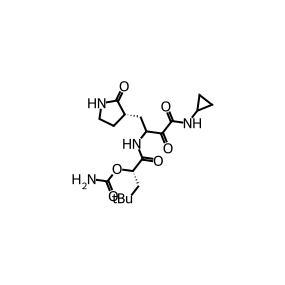 CC(C)(C)C[C@H](OC(N)=O)C(=O)NC(C[C@@H]1CCNC1=O)C(=O)C(=O)NC1CC1